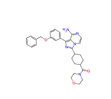 Nc1nccn2c(C3CCC(C(=O)N4CCOCC4)CC3)nc(-c3cccc(OCc4ccccc4)c3)c12